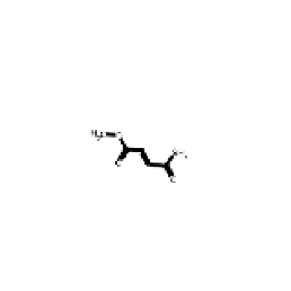 COC(=O)/C=C/C(=O)[SiH3]